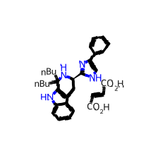 CCCCC1(CCCC)N[C@@H](c2nc(-c3ccccc3)c[nH]2)Cc2c1[nH]c1ccccc21.O=C(O)C=CC(=O)O